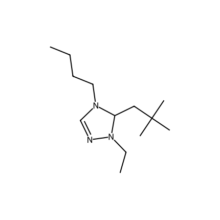 CCCCN1C=NN(CC)C1CC(C)(C)C